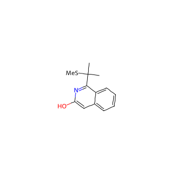 CSC(C)(C)c1nc(O)cc2ccccc12